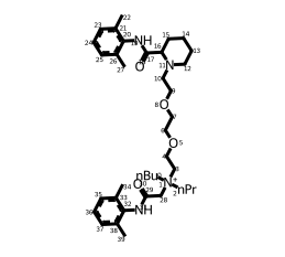 CCCC[N+](CCC)(CCOCCOCCN1CCCCC1C(=O)Nc1c(C)cccc1C)CC(=O)Nc1c(C)cccc1C